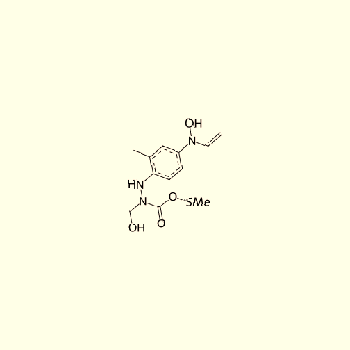 C=CN(O)c1ccc(NN(CO)C(=O)OSC)c(C)c1